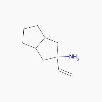 C=CC1(N)CC2CCCC2C1